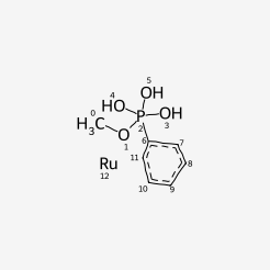 COP(O)(O)(O)c1ccccc1.[Ru]